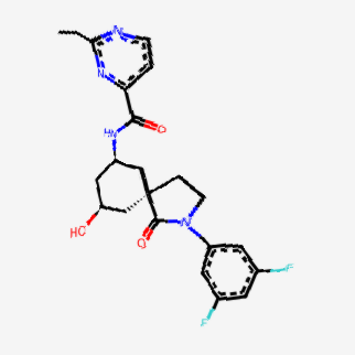 Cc1nccc(C(=O)N[C@@H]2C[C@H](O)C[C@@]3(CCN(c4cc(F)cc(F)c4)C3=O)C2)n1